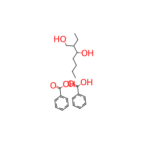 CCCCC(O)C(CC)CO.O=C(O)c1ccccc1.O=C(O)c1ccccc1